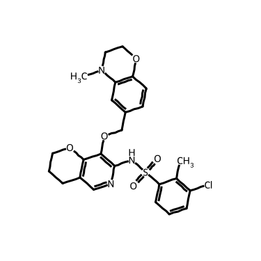 Cc1c(Cl)cccc1S(=O)(=O)Nc1ncc2c(c1OCc1ccc3c(c1)N(C)CCO3)OCCC2